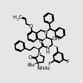 C=CCOc1cccc2c1CN(C(c1ccccc1)c1ccccc1)[C@@H]([C@@H](O)[C@H](Cc1cc(F)cc(F)c1)NC(=O)[C@H](CCc1ccccc1)N1CC[C@](NC(C)=O)([C@H](C)CC)C1=O)C2